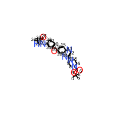 CC(C)(C)OC(=O)N1CCN(c2cnc3ccc(Oc4cccc(NC(=O)C(C)(C)C)c4)cc3n2)CC1